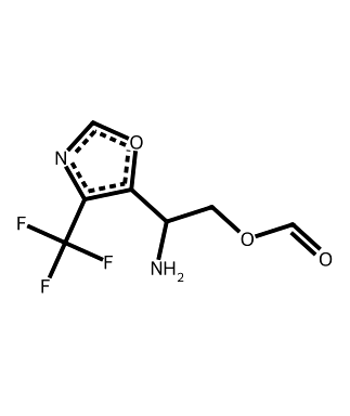 NC(COC=O)c1ocnc1C(F)(F)F